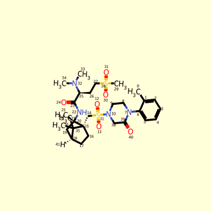 Cc1ccccc1N1CCN(S(=O)(=O)C[C@@]23CC[C@@H](C[C@]2(C)NC(=O)[C@H](CCS(C)(=O)=O)N(C)C)C3(C)C)CC1=O